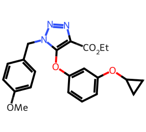 CCOC(=O)c1nnn(Cc2ccc(OC)cc2)c1Oc1cccc(OC2CC2)c1